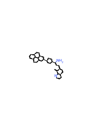 C=c1/c(=C\C=C(/N)c2ccc(-c3cc4ccc5cccc6ccc(c3)c4c56)cc2)ccc2cccnc12